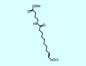 CCCCCCCCC=CCCCCCCCC(=O)NCCCC(=O)OC